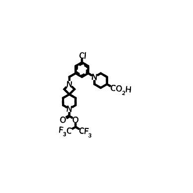 O=C(O)C1CCN(c2cc(Cl)cc(CN3CC4(CCN(C(=O)OC(C(F)(F)F)C(F)(F)F)CC4)C3)c2)CC1